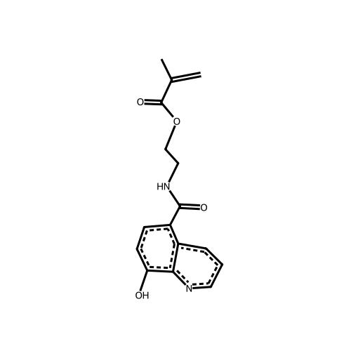 C=C(C)C(=O)OCCNC(=O)c1ccc(O)c2ncccc12